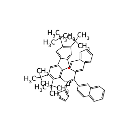 CC(C)(C)c1cc2c(cc1C(C)(C)C)-c1cc(C(C)(C)C)c(C(C)(C)C)[c]([Zr]([C]3=CC=CC3)=[C](c3ccc4ccccc4c3)c3ccc4ccccc4c3)c1C2